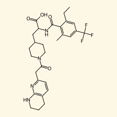 CCc1cc(C(F)(F)F)cc(C)c1C(=O)NC(CC1CCN(C(=O)Cc2ccc3c(n2)NCCC3)CC1)C(=O)O